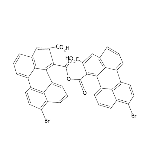 O=C(O)c1cc2cccc3c4ccc(Br)c5cccc(c(c1C(=O)OC(=O)c1c(C(=O)O)cc6cccc7c8ccc(Br)c9cccc(c1c67)c98)c23)c54